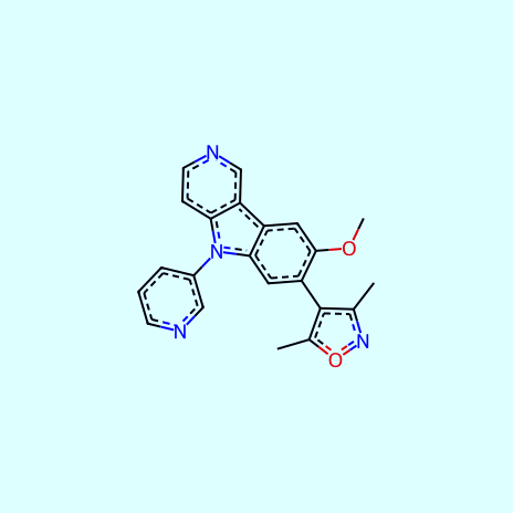 COc1cc2c3cnccc3n(-c3cccnc3)c2cc1-c1c(C)noc1C